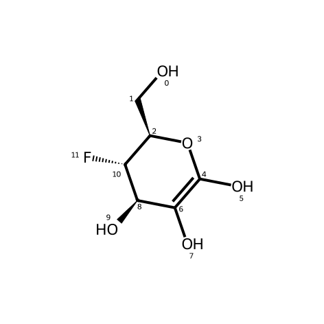 OC[C@H]1OC(O)=C(O)[C@@H](O)[C@@H]1F